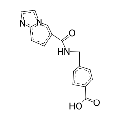 O=C(O)c1ccc(CNC(=O)c2ccc3nccn3c2)cc1